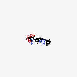 CCc1c(-c2ccc3c(c2)cc(CNCc2ccccc2)n3C)[nH]c(=O)c(C(=O)O)c1O